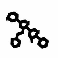 Cc1cc(-c2ncc(-c3cccnc3)cc2C=Cc2ccccc2)cnc1-c1ccccc1